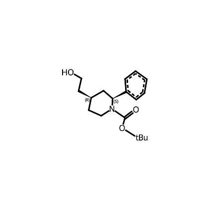 CC(C)(C)OC(=O)N1CC[C@@H](CCO)C[C@H]1c1ccccc1